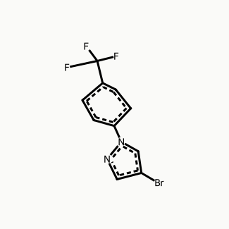 FC(F)(F)c1ccc(-n2cc(Br)cn2)cc1